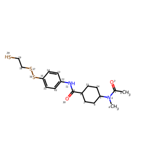 CC(=O)N(C)C1CCC(C(=O)Nc2ccc(SSCCS)cc2)CC1